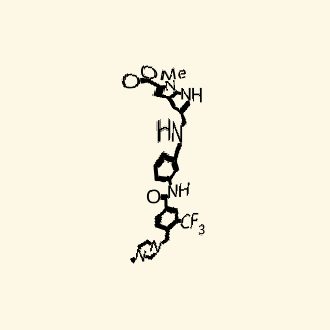 COC(=O)c1cc2cc(CNCc3cccc(NC(=O)c4ccc(CN5CCN(C)CC5)c(C(F)(F)F)c4)c3)c[nH]c-2n1